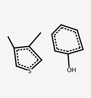 Cc1cscc1C.Oc1ccccc1